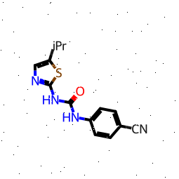 CC(C)c1cnc(NC(=O)Nc2ccc(C#N)cc2)s1